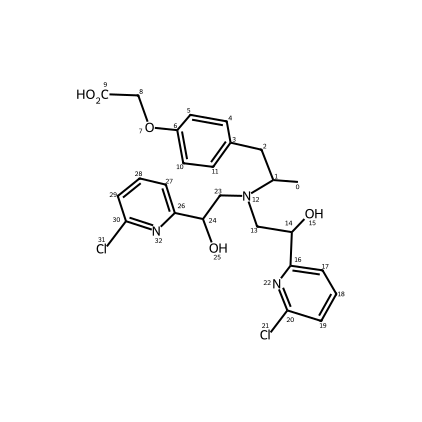 CC(Cc1ccc(OCC(=O)O)cc1)N(CC(O)c1cccc(Cl)n1)CC(O)c1cccc(Cl)n1